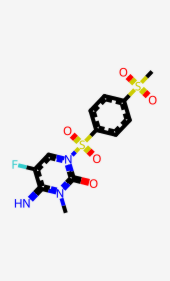 Cn1c(=N)c(F)cn(S(=O)(=O)c2ccc(S(C)(=O)=O)cc2)c1=O